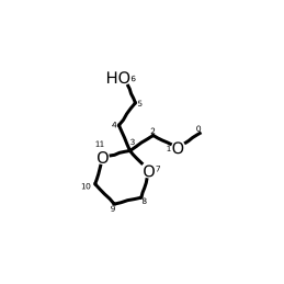 COCC1(CCO)OCCCO1